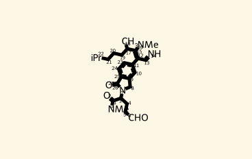 CNC(=O)C(CCC=O)N1Cc2cc(/C(C=N)=C(/NC)C(C)CCCC(C)C)ccc2C1=O